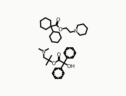 CN(C)CC(C)(C)OC(=O)C(O)(c1ccccc1)c1ccccc1.O=C(OCCN1CCCCC1)C1(C2CCCCC2)CCCCC1